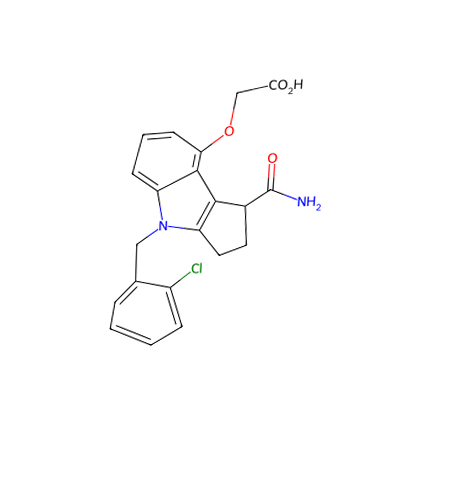 NC(=O)C1CCc2c1c1c(OCC(=O)O)cccc1n2Cc1ccccc1Cl